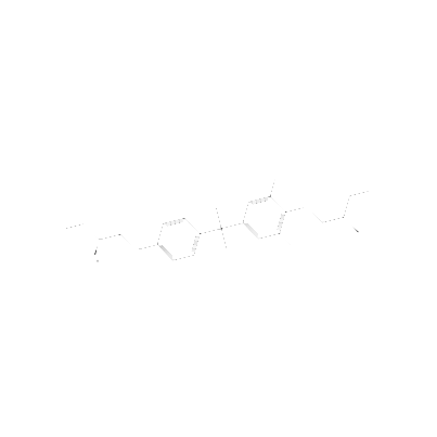 C[C@H](CCl)COc1c(Cl)cc(C(C)(C)c2ccc(OC[C@@H](O)CF)cc2)cc1Cl